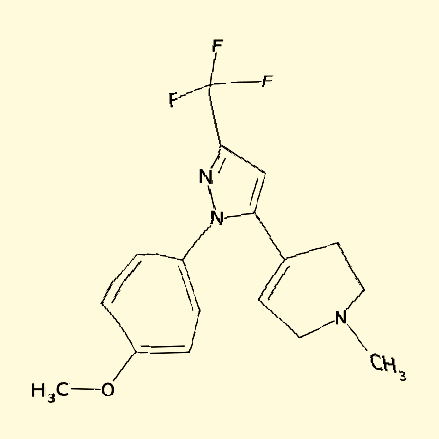 COc1ccc(-n2nc(C(F)(F)F)cc2C2=CCN(C)CC2)cc1